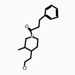 CC1CN(C(=O)CCc2ccccc2)CCC1CCCl